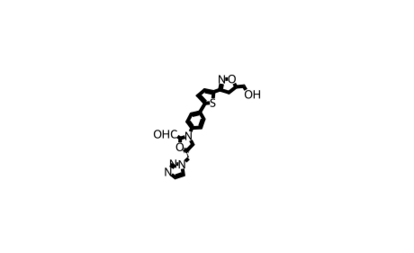 O=CC1O[C@@H](Cn2ccnn2)CN1c1ccc(-c2ccc(C3=NOC(CO)C3)s2)cc1